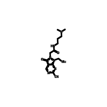 CN(C)CCCNC(=O)Cn1c(=O)c2cnc(C#N)nc2n1CC(C)(C)C